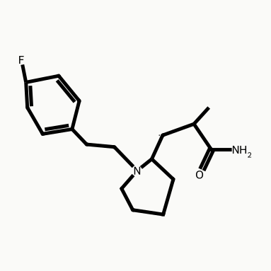 CC([CH]C1CCCCN1CCc1ccc(F)cc1)C(N)=O